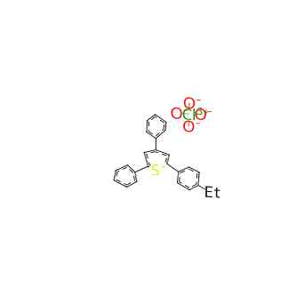 CCc1ccc(-c2cc(-c3ccccc3)cc(-c3ccccc3)[s+]2)cc1.[O-][Cl+3]([O-])([O-])[O-]